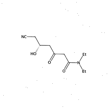 CCN(CC)C(=O)CC(=O)C[C@H](O)CC#N